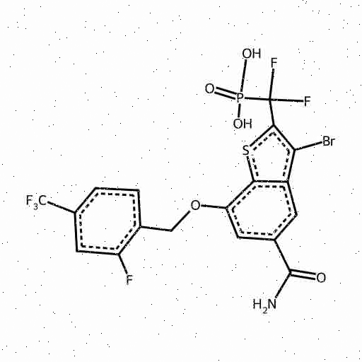 NC(=O)c1cc(OCc2ccc(C(F)(F)F)cc2F)c2sc(C(F)(F)P(=O)(O)O)c(Br)c2c1